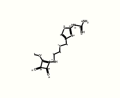 COc1c(NCCSCc2csc(NC(=N)N)n2)c(=O)c1=O